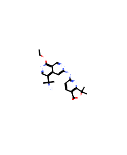 CCOc1ncc(C(C)(C)N)c2cc(Nc3ccc4c(n3)C(C)(C)OC4=O)ncc12